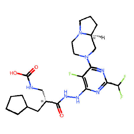 O=C(O)NC[C@@H](CC1CCCC1)C(=O)NNc1nc(C(F)F)nc(N2CCN3CCC[C@H]3C2)c1F